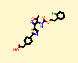 Cc1onc(-c2cnc(-c3ccc(CC(=O)O)cc3)s2)c1NC(=O)OCCc1ccccc1F